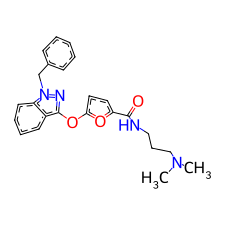 CN(C)CCCNC(=O)c1ccc(Oc2nn(Cc3ccccc3)c3ccccc23)o1